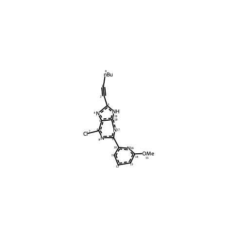 CCCCC#Cc1nc2c(Cl)nc(-c3cccc(OC)n3)nc2[nH]1